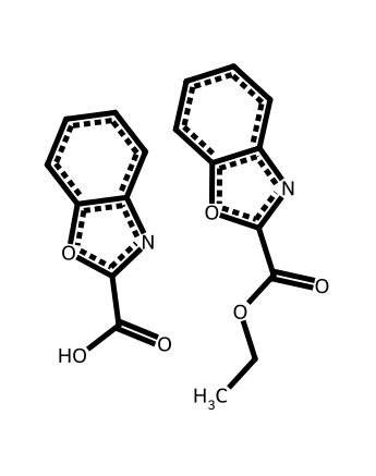 CCOC(=O)c1nc2ccccc2o1.O=C(O)c1nc2ccccc2o1